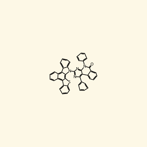 O=c1c2ccccc2c2c(-c3ccccc3)nc(-n3c4ccccc4c4c5ccccc5c5c6ccccc6sc5c43)nc2n1-c1ccccc1